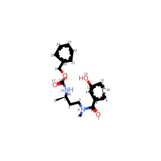 C[C@H](CCN(C)C(=O)c1cccc(O)c1)NC(=O)OCc1ccccc1